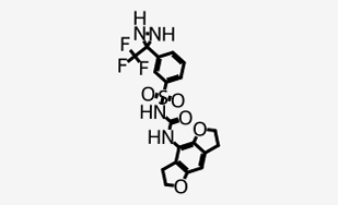 O=C(Nc1c2c(cc3c1OCC3)OCC2)NS(=O)(=O)c1cccc(C2(C(F)(F)F)NN2)c1